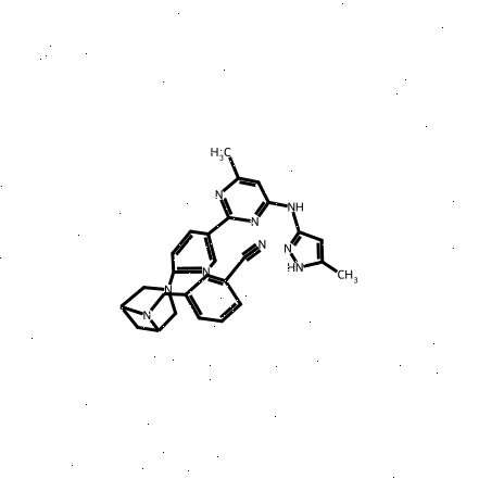 Cc1cc(Nc2cc(C)[nH]n2)nc(-c2ccc(N3CC4CC(C3)N4Cc3cccc(C#N)c3)nc2)n1